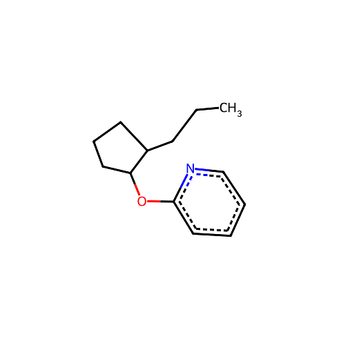 CCCC1CCCC1Oc1ccccn1